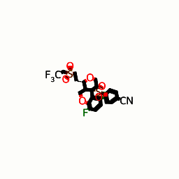 N#Cc1ccc(S(=O)(=O)[C@@]23CCO[C@@H](CCS(=O)(=O)CC(F)(F)F)C2COc2c(F)ccc(F)c23)cc1